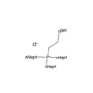 CCCCCCCCCCCC[P+](CCCCCCC)(CCCCCCC)CCCCCCC.[Cl-]